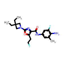 CCC1(CC)CN(c2nc(C(=O)Nc3cc(C)c(N)c(F)c3)c(CCF)o2)C1